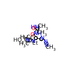 CCN(c1cc(-c2ccc(CN3CCN(C)CC3)nc2)cc(C(=O)NCc2c(C)cc(C)[nH]c2=O)c1C)C1C[C@@H](C)N(C(=O)O)[C@H](C)C1